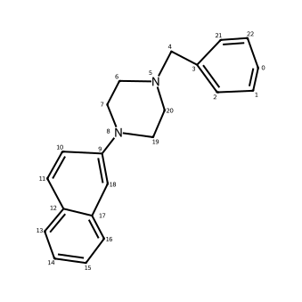 c1ccc(CN2CCN(c3ccc4ccccc4c3)CC2)cc1